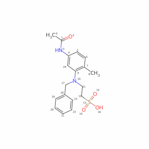 CC(=O)Nc1ccc(C)c(N(CCS(=O)(=O)O)Cc2ccccc2)c1